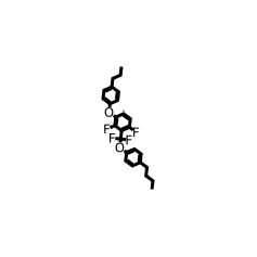 CCCCc1ccc(OC(F)(F)c2c(F)c[c]c(Oc3ccc(CCC)cc3)c2F)cc1